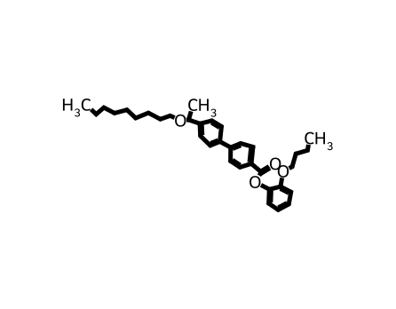 CCCCCCCCCOC(C)c1ccc(-c2ccc(C(=O)Oc3ccccc3OCCCC)cc2)cc1